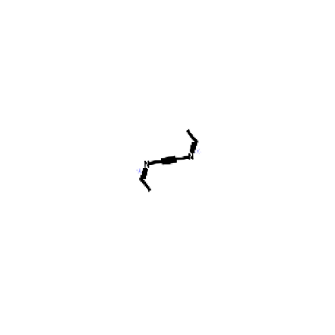 C/C=N\C#C/N=C\C